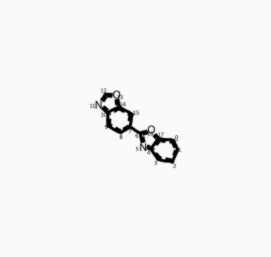 [c]1cccc2nc(-c3ccc4ncoc4c3)oc12